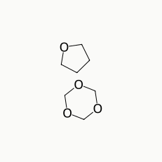 C1CCOC1.C1OCOCO1